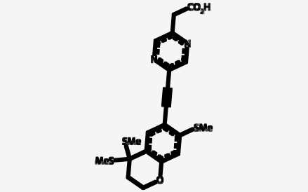 CSc1cc2c(cc1C#Cc1cnc(CC(=O)O)cn1)C(SC)(SC)CCO2